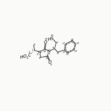 C[C@@H](C(=O)O)N1CC(=O)N(C(CS)Cc2ccccc2)C1=O